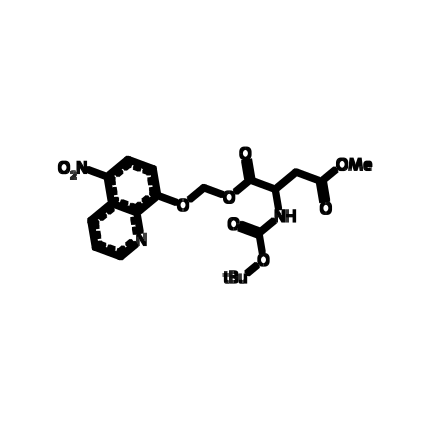 COC(=O)CC(NC(=O)OC(C)(C)C)C(=O)OCOc1ccc([N+](=O)[O-])c2cccnc12